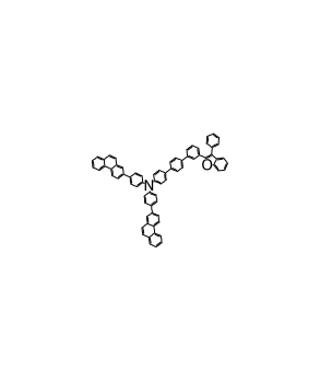 c1ccc(-c2c(-c3cccc(-c4ccc(-c5ccc(N(c6ccc(-c7ccc8c(ccc9ccccc98)c7)cc6)c6ccc(-c7ccc8c(ccc9ccccc98)c7)cc6)cc5)cc4)c3)oc3ccccc23)cc1